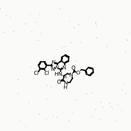 O=C1NCCN(C(=O)OCc2ccccc2)C[C@H]1Nc1nc2ccccc2c2nc(-c3cccc(Cl)c3Cl)nn12